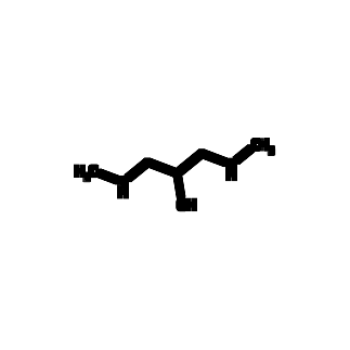 CNCC(O)CNC